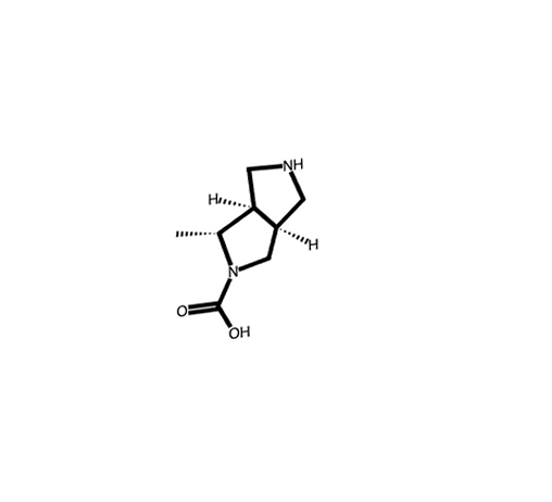 C[C@@H]1[C@H]2CNC[C@H]2CN1C(=O)O